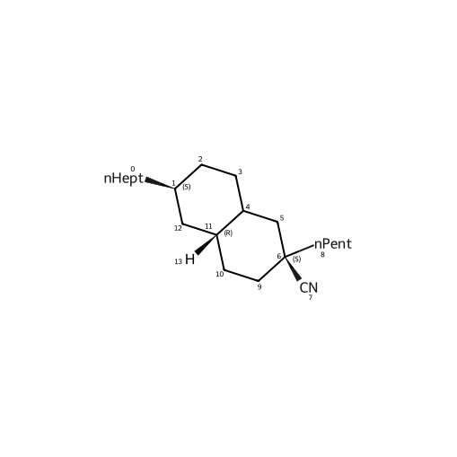 CCCCCCC[C@H]1CCC2C[C@](C#N)(CCCCC)CC[C@@H]2C1